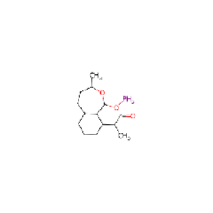 CC1CCC2CCCC(C(C)C=O)C2C(OP)O1